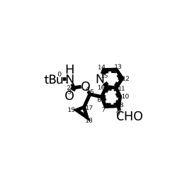 CC(C)(C)NC(=O)OC(c1cc(C=O)cc2cccnc12)C1CC1